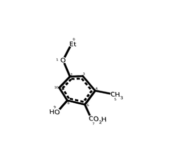 CCOc1cc(C)c(C(=O)O)c(O)c1